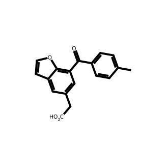 Cc1ccc(C(=O)c2cc(CC(=O)O)cc3ccoc23)cc1